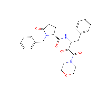 O=C(C(=O)N1CCOCC1)C(Cc1ccccc1)NC(=O)[C@@H]1CCC(=O)N1Cc1ccccc1